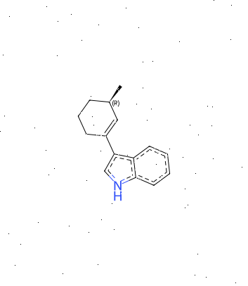 C[C@H]1C=C(c2c[nH]c3ccccc23)CCC1